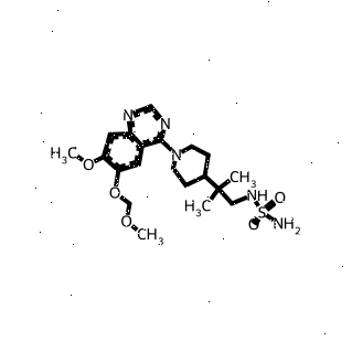 COCOc1cc2c(N3CCC(C(C)(C)CNS(N)(=O)=O)CC3)ncnc2cc1OC